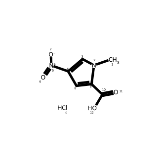 Cl.Cn1cc([N+](=O)[O-])cc1C(=O)O